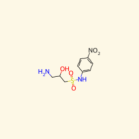 NCC(O)CS(=O)(=O)Nc1ccc([N+](=O)[O-])cc1